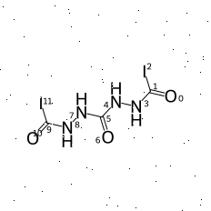 O=C(I)NNC(=O)NNC(=O)I